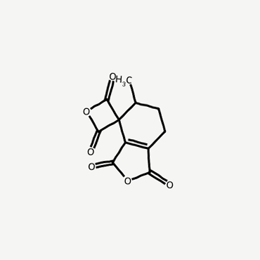 CC1CCC2=C(C(=O)OC2=O)C12C(=O)OC2=O